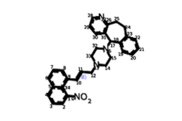 O=[N+]([O-])c1cccc2cccc(/C=C/CN3CCN(C4c5ccccc5CCc5ncccc54)CC3)c12